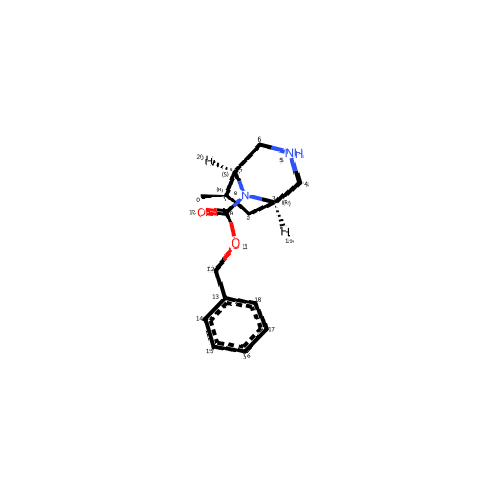 C[C@@H]1C[C@@H]2CNC[C@H]1N2C(=O)OCc1ccccc1